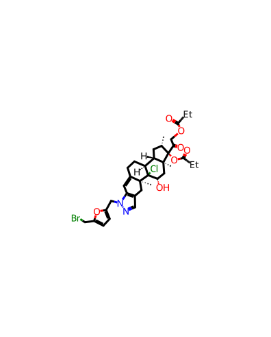 CCC(=O)OCC(=O)[C@@]1(OC(=O)CC)[C@@H](C)C[C@H]2[C@@H]3CCC4=Cc5c(cnn5Cc5ccc(CBr)o5)C[C@]4(C)[C@@]3(Cl)[C@@H](O)C[C@@]21C